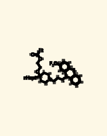 CCCCCCCC1(OCCOC(=O)CC)CCN(CCCN2c3ccccc3Sc3ccc(C(F)(F)F)cc32)CC1